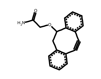 NC(=O)COC1Cc2ccccc2C#Cc2ccccc21